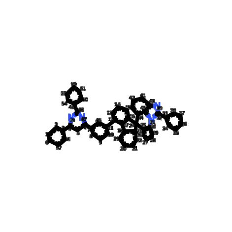 c1ccc(-c2cc(-c3cccc(-c4cccc5c4-c4ccccc4C54c5ccccc5-n5c(-c6ccccc6)nc6cccc4c65)c3)nc(-c3ccccc3)n2)cc1